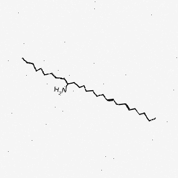 CCCCCC=CCC=CCCCCCCCC(N)CCCCCCCCC